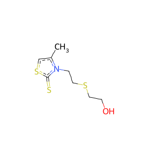 Cc1csc(=S)n1CCSCCO